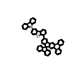 c1ccc2c(c1)-c1ccccc1C21c2ccc(-c3cccc4c3oc3ccc(-n5c6ccccc6c6ccccc65)cc34)cc2-c2cc3c4ccccc4c4ccccc4c3cc21